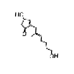 C/C(=C\CCCCO)CC1=CC(O)CC1=O